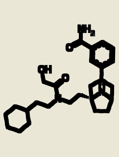 NC(=O)c1cccc(C2CC3CC[C@@](CCN(CCC4CCCCC4)C(=O)CO)(C2)N3)c1